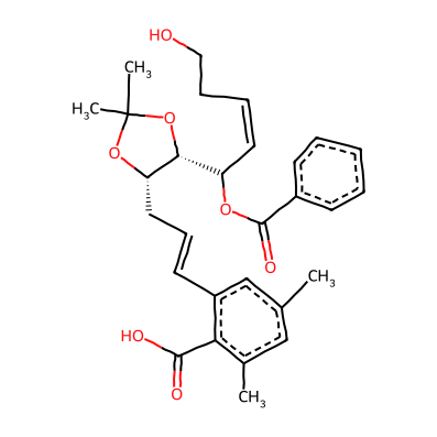 Cc1cc(C)c(C(=O)O)c(/C=C/C[C@@H]2OC(C)(C)O[C@@H]2C(/C=C\CCO)OC(=O)c2ccccc2)c1